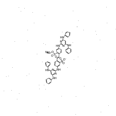 O=S(=O)([O-])c1cc(Nc2nc(Nc3ccccc3)cc(Nc3ccccc3)n2)ccc1C=Cc1ccc(Nc2nc(Nc3ccccc3)cc(Nc3ccccc3)n2)cc1S(=O)(=O)[O-].[Na+].[Na+]